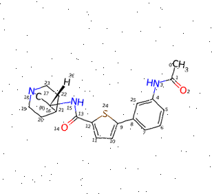 CC(=O)Nc1cccc(-c2ccc(C(=O)N[C@H]3CN4CCC3CC4)s2)c1